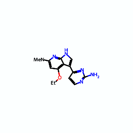 CCOc1cc(NC)nc2[nH]cc(-c3ccnc(N)n3)c12